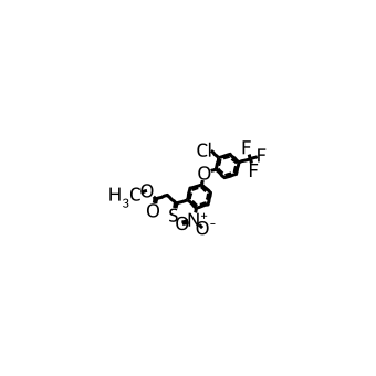 COC(=O)CC(=S)c1cc(Oc2ccc(C(F)(F)F)cc2Cl)ccc1[N+](=O)[O-]